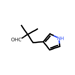 CC(C)(C=O)Cc1cc[nH]c1